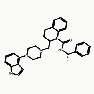 C[C@H](NC(=O)N1c2ccccc2CCC1CN1CCN(c2cccc3[nH]ccc23)CC1)c1ccccc1